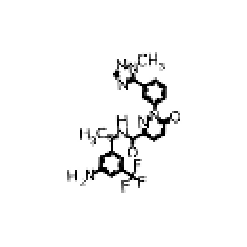 C[C@@H](NC(=O)c1ccc(=O)n(-c2cccc(-c3ncnn3C)c2)n1)c1cc(N)cc(C(F)(F)F)c1